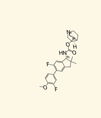 COc1ccc(-c2cc3c(cc2F)[C@H](NC(=O)O[C@H]2CN4CCC2CC4)C(C)(C)C3)cc1F